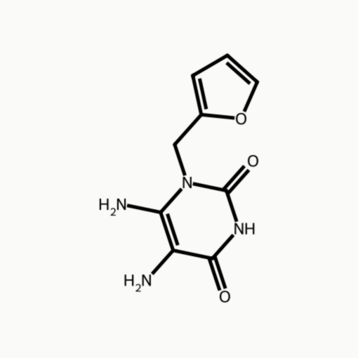 Nc1c(N)n(Cc2ccco2)c(=O)[nH]c1=O